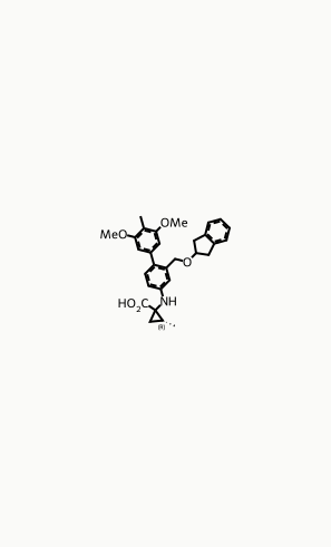 COc1cc(-c2ccc(NC3(C(=O)O)C[C@H]3C)cc2COC2Cc3ccccc3C2)cc(OC)c1C